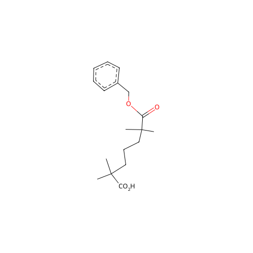 CC(C)(CCCC(C)(C)C(=O)OCc1ccccc1)C(=O)O